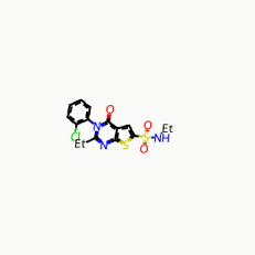 CCNS(=O)(=O)c1cc2c(=O)n(-c3ccccc3Cl)c(CC)nc2s1